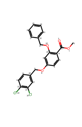 COC(=O)c1ccc(OCc2ccc(Cl)c(Cl)c2)cc1OCc1ccccc1